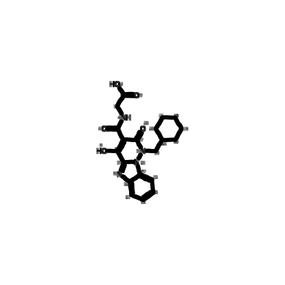 O=C(O)CNC(=O)c1c(O)c2nc3ccccc3n2n(CC2CCCCC2)c1=O